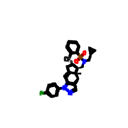 C[C@]12Cc3cnn(-c4ccc(F)cc4)c3C=C1CC[C@@H]2CN(CC1CC1)S(=O)(=O)c1ccccc1C(F)(F)F